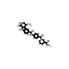 CC1CNC(=O)c2[nH]c3ccc(C(=O)Nc4ccc(C(=O)N5CCCC(C(N)=O)C5)cc4)cc3c21